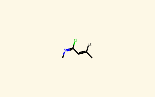 CC/C(C)=C\C(Cl)=N/C